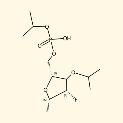 CC(C)OC1[C@@H](COP(=O)(O)OC(C)C)O[C@@H](C)[C@H]1F